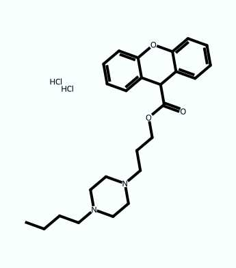 CCCCN1CCN(CCCOC(=O)C2c3ccccc3Oc3ccccc32)CC1.Cl.Cl